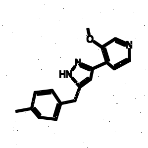 COc1cnccc1-c1cc(Cc2ccc(C)cc2)[nH]n1